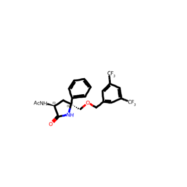 CC(=O)N[C@H]1C[C@@](COCc2cc(C(F)(F)F)cc(C(F)(F)F)c2)(c2ccccc2)NC1=O